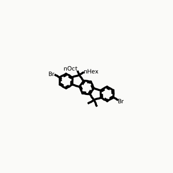 CCCCCCCCC1(CCCCCC)c2cc(Br)ccc2-c2cc3c(cc21)-c1ccc(Br)cc1C3(C)C